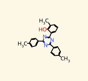 Cc1ccc(-c2nc(-c3ccc(C)cc3)nc(-c3cccc(C)c3O)n2)cc1